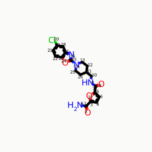 NC(=O)c1ccc(C(=O)NCC2CCN(c3nc4cc(Cl)ccc4o3)CC2)o1